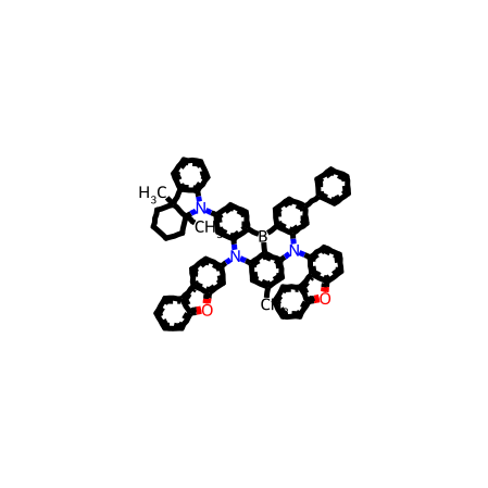 Cc1cc2c3c(c1)N(c1cccc4oc5ccccc5c14)c1cc(-c4ccccc4)ccc1B3c1ccc(N3c4ccccc4C4(C)CCCCC34C)cc1N2c1ccc2c(c1)oc1ccccc12